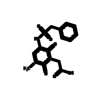 Cn1cc(NS(=O)(=O)Cc2ccccc2)c(=O)n(CC(=O)O)c1=O